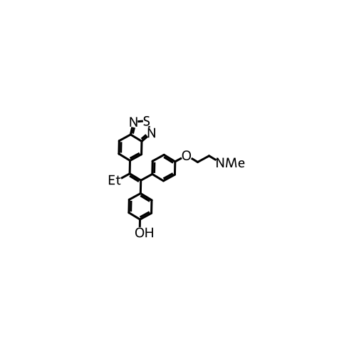 CCC(=C(c1ccc(O)cc1)c1ccc(OCCNC)cc1)c1ccc2nsnc2c1